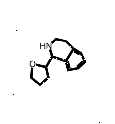 c1ccc2c(c1)CCNC2C1CCCO1